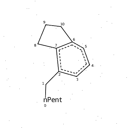 [CH2]CCCCCc1cccc2c1CCC2